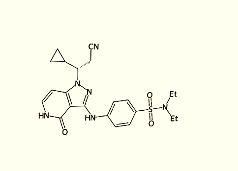 CCN(CC)S(=O)(=O)c1ccc(Nc2nn([C@@H](CC#N)C3CC3)c3cc[nH]c(=O)c23)cc1